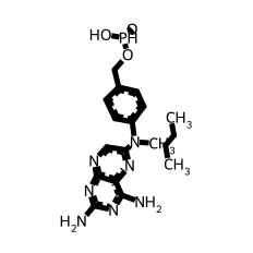 CCCC.CN(c1ccc(CO[PH](=O)O)cc1)c1cnc2nc(N)nc(N)c2n1